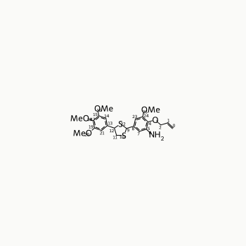 C=CCOc1c(N)cc(C2SCC(c3cc(OC)c(OC)c(OC)c3)S2)cc1OC